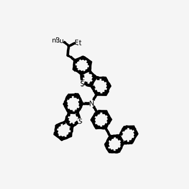 CCCCC(CC)Cc1ccc2c(c1)sc1c(N(c3ccc(-c4cccc5ccccc45)cc3)c3cccc4c3sc3ccccc34)cccc12